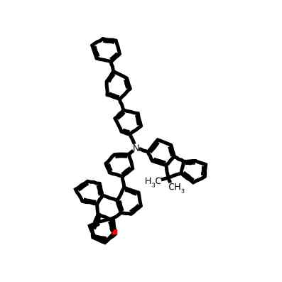 CC1(C)c2ccccc2-c2ccc(N(c3ccc(-c4ccc(-c5ccccc5)cc4)cc3)c3cccc(-c4cccc(-c5ccccc5)c4-c4ccccc4-c4ccccc4)c3)cc21